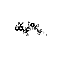 CS(=O)(=O)CCNC(=O)[C@@H]1CC[C@@H](Nc2ncc3c(Br)nn(-c4cc(C(F)F)c5ncccc5c4)c3n2)C1